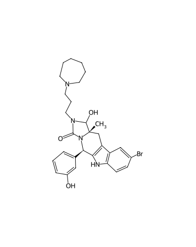 C[C@@]12Cc3c([nH]c4ccc(Br)cc34)[C@@H](c3cccc(O)c3)N1C(=O)N(CCCN1CCCCCC1)C2O